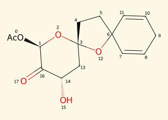 CC(=O)O[C@H]1O[C@@]2(CCC3(C=CCC=C3)O2)C[C@H](O)C1=O